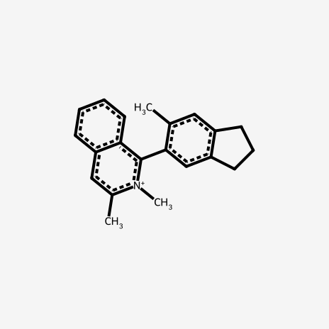 Cc1cc2c(cc1-c1c3ccccc3cc(C)[n+]1C)CCC2